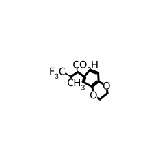 C[C@H]([C@H](C(=O)O)c1ccc2c(c1)OCCO2)C(F)(F)F